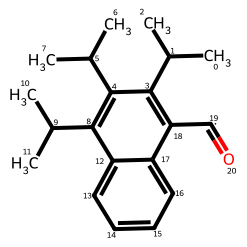 CC(C)c1c(C(C)C)c(C(C)C)c2ccccc2c1[C]=O